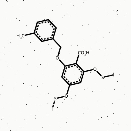 Cc1cccc(COc2cc(OSI)cc(OSI)c2C(=O)O)c1